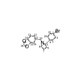 Brc1ccc(-c2cccn2Cc2ccc3c(c2)OCO3)cc1